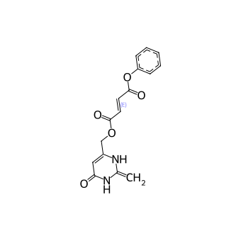 C=C1NC(=O)C=C(COC(=O)/C=C/C(=O)Oc2ccccc2)N1